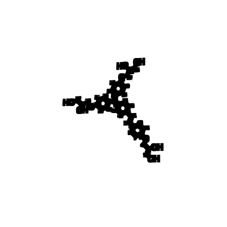 OCC(O)COc1ccc(C=Cc2ccc(N(c3ccc(OCC(O)CO)cc3)c3ccc(OCC(O)CO)cc3)cc2)cc1